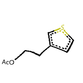 CC(=O)OCCc1ccsc1